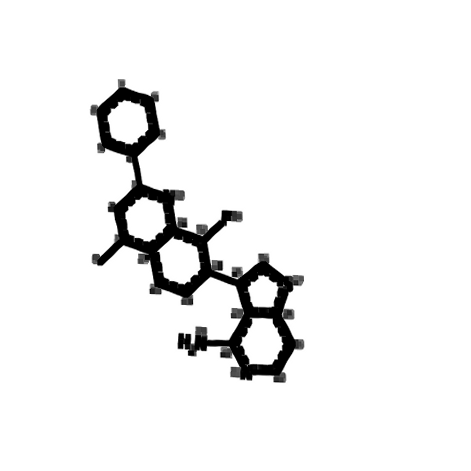 Cc1cc(-c2ccccc2)nc2c(F)c(-c3csc4ccnc(N)c34)ccc12